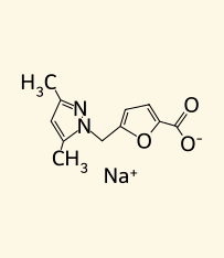 Cc1cc(C)n(Cc2ccc(C(=O)[O-])o2)n1.[Na+]